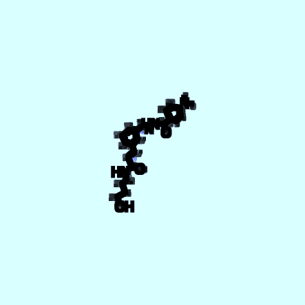 CN(C)c1ccc(C(=O)N/N=C/c2cccc(/C=C/C(=O)NCCCCO)c2)cc1